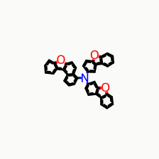 c1ccc2c(c1)oc1cc(N(c3ccc4oc5ccccc5c4c3)c3cccc4c3ccc3oc5ccccc5c34)ccc12